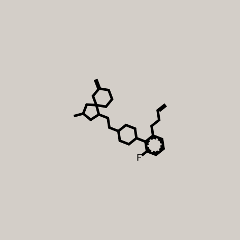 C=CCCc1cccc(F)c1C1CCC(CCC2CC(C)CC23CCCC(=C)C3)CC1